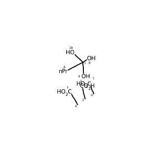 CC(=O)O.CC(=O)O.CC(=O)O.CCCC(O)(O)O